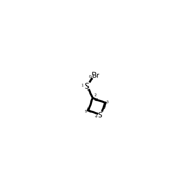 BrSC1CSC1